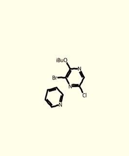 CC(C)COc1ncc(Cl)nc1Br.c1ccncc1